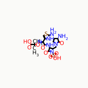 CC(C)(O/N=C(\C(=O)NC1C(=O)N(S(=O)(=O)O)C1CN1CCC(N)C1=O)C1=CSC(N)N1)C(=O)O